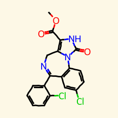 COC(=O)c1[nH]c(=O)n2c1CN=C(c1ccccc1Cl)c1cc(Cl)ccc1-2